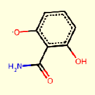 NC(=O)c1c([O])cccc1O